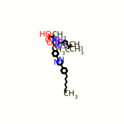 CCCCCCCc1ccc(-c2cnc(-c3ccc(C[C@H](NC(=O)c4ccc(C(C)(C)C)s4)C(=O)N[C@H](C)C(=O)O)cc3)nc2)cc1